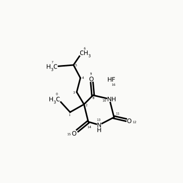 CCC1(CCC(C)C)C(=O)NC(=O)NC1=O.F